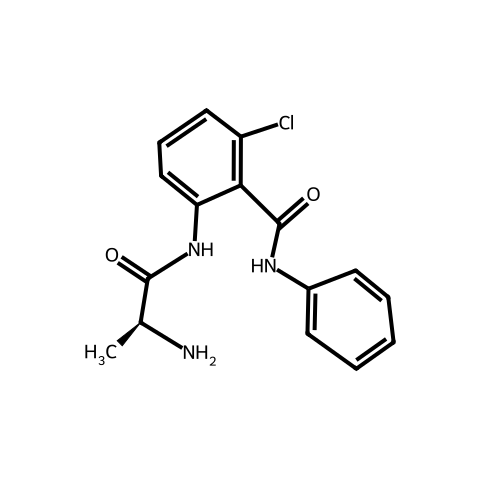 C[C@H](N)C(=O)Nc1cccc(Cl)c1C(=O)Nc1ccccc1